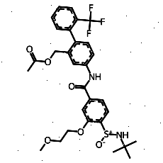 COCCOc1cc(C(=O)Nc2ccc(-c3ccccc3C(F)(F)F)c(COC(C)=O)c2)ccc1[S+]([O-])NC(C)(C)C